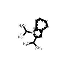 CC(C)c1cc2ccccc2n1C(C)C